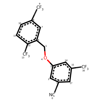 N#Cc1cc(OCc2cc(C(F)(F)F)ccc2C(F)(F)F)cc(C(F)(F)F)c1